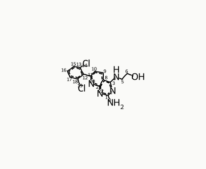 Nc1nc(NCCO)c2ccc(-c3c(Cl)cccc3Cl)nc2n1